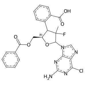 CC1(F)C(c2ccccc2C(=O)O)[C@H](COC(=O)c2ccccc2)OC1n1cnc2c(Cl)nc(N)nc21